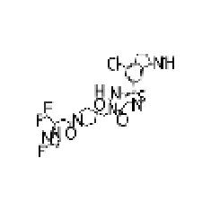 CNC1CCc2c(Cl)cc(-c3snc4c(=O)n(CC5(O)CCN(C(=O)CC(C(F)F)n6ccc(F)n6)CC5)cnc34)cc21